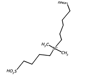 CCCCCCCCCCCCCC[N+](C)(C)CCCCS(=O)(=O)O